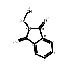 N#C[Se]N1C(=O)c2ccccc2C1=O